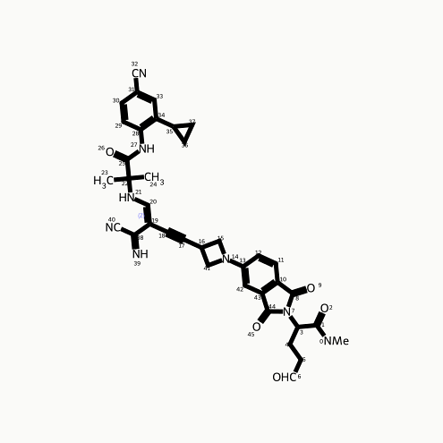 CNC(=O)C(CCC=O)N1C(=O)c2ccc(N3CC(C#C/C(=C/NC(C)(C)C(=O)Nc4ccc(C#N)cc4C4CC4)C(=N)C#N)C3)cc2C1=O